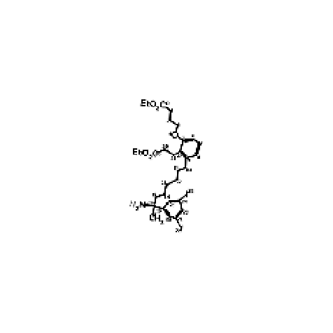 CCOC(=O)CCCOc1cccc(CCCCCCC(C)(N)c2cc(I)cc(I)c2)c1CCC(=O)OCC